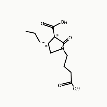 CCC[C@H]1CN(CCCC(=O)O)C(=O)[C@@H]1C(=O)O